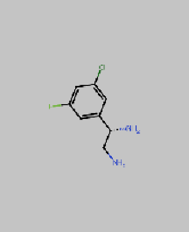 NC[C@@H](N)c1cc(F)cc(Cl)c1